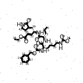 CCC[C@H](NC(=O)[C@@H](CCCCNC(=O)OC)NC(=O)OCc1ccccc1)C(=O)N[C@H](/C=C/C(=O)OCC)CC1CCNC1=O